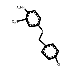 CC(=O)Nc1ccc(OCc2ccc(Cl)cc2)cc1[N+](=O)[O-]